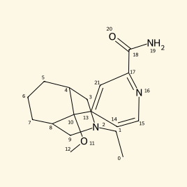 CCN1CC2CCCC(C1)C2(OC)c1ccnc(C(N)=O)c1